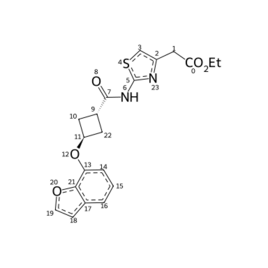 CCOC(=O)Cc1csc(NC(=O)[C@H]2C[C@H](Oc3cccc4ccoc34)C2)n1